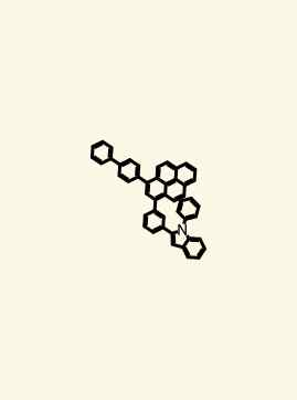 c1ccc(-c2ccc(-c3cc(-c4cccc(-c5cc6ccccc6n5-c5ccccc5)c4)c4ccc5cccc6ccc3c4c65)cc2)cc1